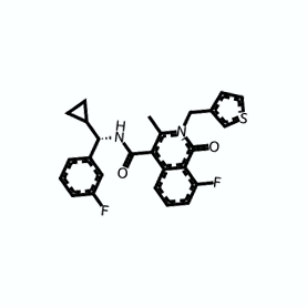 Cc1c(C(=O)N[C@H](c2cccc(F)c2)C2CC2)c2cccc(F)c2c(=O)n1Cc1ccsc1